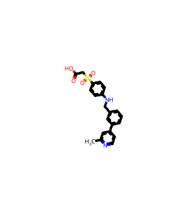 Cc1cc(-c2cccc(CNc3ccc(S(=O)(=O)CC(=O)O)cc3)c2)ccn1